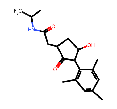 Cc1cc(C)c(C2C(=O)C(CC(=O)NC(C)C(F)(F)F)CC2O)c(C)c1